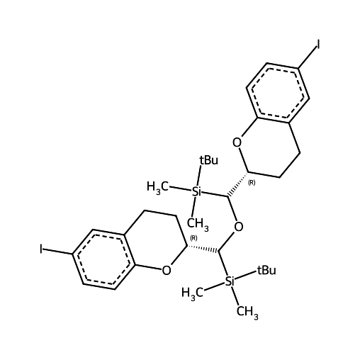 CC(C)(C)[Si](C)(C)C(OC([C@H]1CCc2cc(I)ccc2O1)[Si](C)(C)C(C)(C)C)[C@H]1CCc2cc(I)ccc2O1